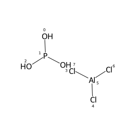 OP(O)O.[Cl][Al]([Cl])[Cl]